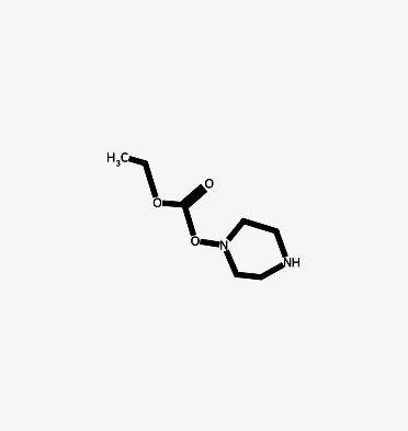 CCOC(=O)ON1CCNCC1